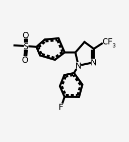 CS(=O)(=O)c1ccc(C2CC(C(F)(F)F)=NN2c2ccc(F)cc2)cc1